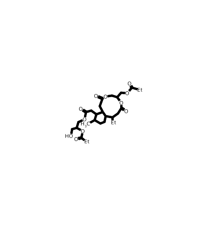 CCC(=O)OCC1COC(=O)CC2C(CC(=O)OCC(CO)OC(=O)CC)C(C)CCC2C(CC)CC(=O)O1